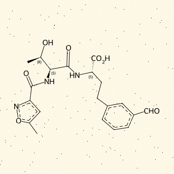 Cc1cc(C(=O)N[C@H](C(=O)N[C@@H](CCc2cccc(C=O)c2)C(=O)O)[C@@H](C)O)no1